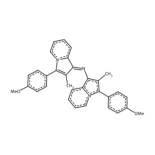 COc1ccc(C2=C(C)/C(=N\c3c(C)c(-c4ccc(OC)cc4)n4ccccc34)c3cccc[n+]32)cc1